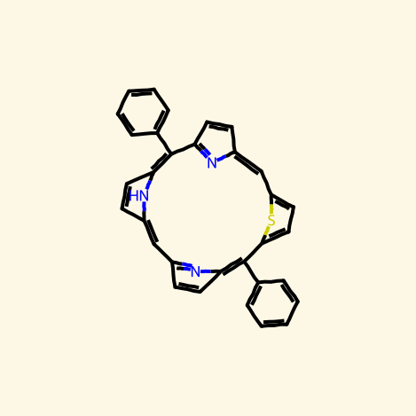 C1=Cc2nc1cc1ccc(s1)c(-c1ccccc1)c1nc(cc3ccc([nH]3)c2-c2ccccc2)C=C1